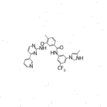 CC1=CN(c2cc(NC(=O)c3ccc(C)c(ONc4nccc(-c5cccnc5)n4)c3)cc(C(F)(F)F)c2)CN1